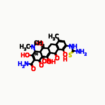 Cc1cc(NC(N)=S)c(O)c2c1CC1C(=C(O)[C@]3(O)C(=O)C(C(N)=O)=C(O)[C@@H](N(C)C)C3[C@H]1O)C2=O